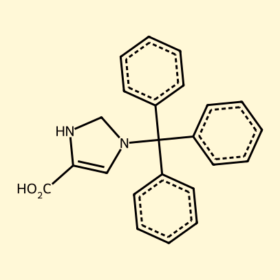 O=C(O)C1=CN(C(c2ccccc2)(c2ccccc2)c2ccccc2)CN1